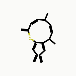 C=C/C=C1\C(=C/C=C)SC(=C)/C=C\C(C)/C=C\C1C